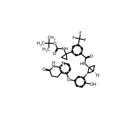 CC(C)(C)OC(=O)NC1(c2cc(C(=O)N[C@@]34C[C@H]3[C@H]4c3cc(Oc4ccnc5c4CCC(=O)N5)ccc3O)cc(C(F)(F)F)c2)CC1